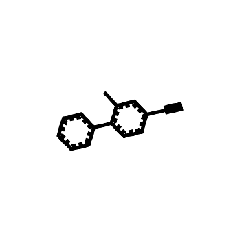 C#Cc1ccc(-c2ccccc2)c(C)c1